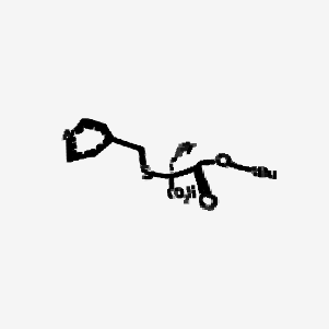 CC(C)[C@@](SCc1ccncc1)(C(=O)O)C(=O)OC(C)(C)C